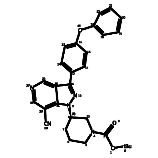 CC(C)(C)OC(=O)N1CCC[C@@H](n2nc(-c3ccc(Oc4ccccc4)cc3)c3cncc(C#N)c32)C1